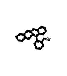 BrCc1ccccc1-c1c2ccccc2cc2cc3ccccc3cc12